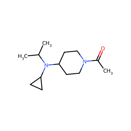 CC(=O)N1CCC(N(C(C)C)C2CC2)CC1